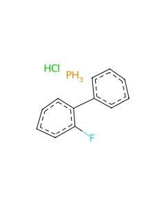 Cl.Fc1ccccc1-c1ccccc1.P